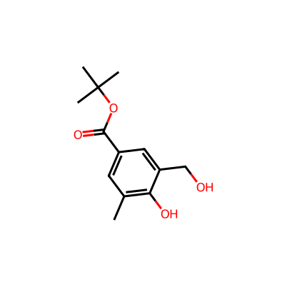 Cc1cc(C(=O)OC(C)(C)C)cc(CO)c1O